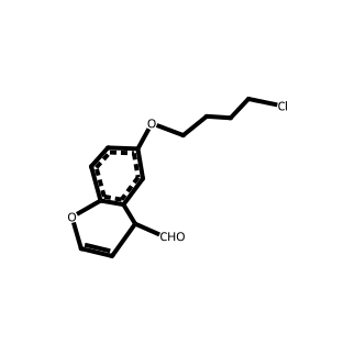 O=CC1C=COc2ccc(OCCCCCl)cc21